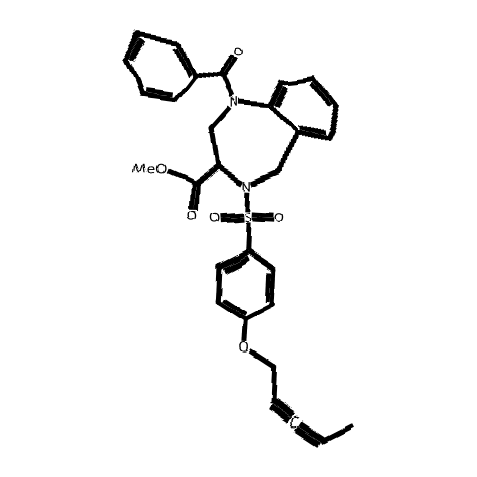 CC=C=CCOc1ccc(S(=O)(=O)N2Cc3ccccc3N(C(=O)c3ccccc3)CC2C(=O)OC)cc1